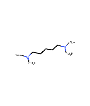 CCCCCCCCCN(CCCCCN(CCCCCCCCC)C(=O)O)C(=O)O